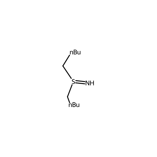 CCCCCS(=N)CCCCC